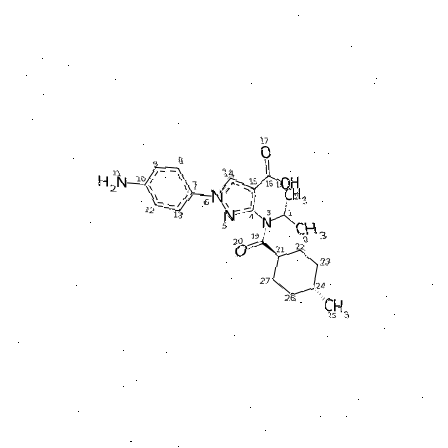 CC(C)N(c1nn(-c2ccc(N)cc2)cc1C(=O)O)C(=O)[C@H]1CC[C@H](C)CC1